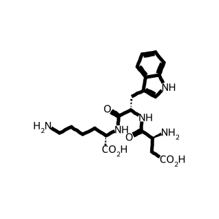 NCCCC[C@H](NC(=O)[C@H](Cc1c[nH]c2ccccc12)NC(=O)[C@@H](N)CC(=O)O)C(=O)O